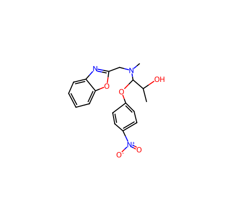 CC(O)C(Oc1ccc([N+](=O)[O-])cc1)N(C)Cc1nc2ccccc2o1